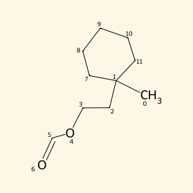 CC1(CCOC=O)CCCCC1